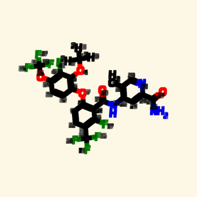 [2H]C([2H])([2H])Oc1c(Oc2ccc(C(F)(F)F)c(F)c2C(=O)Nc2cc(C(N)=O)ncc2C)ccc(OC(F)(F)F)c1F